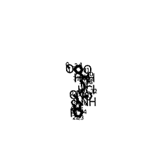 COc1ccc2c(c1)[C@@H]1CN(CCn3c(=O)[nH]c4c(sc5ncccc54)c3=O)C[C@@H]1CO2.Cl